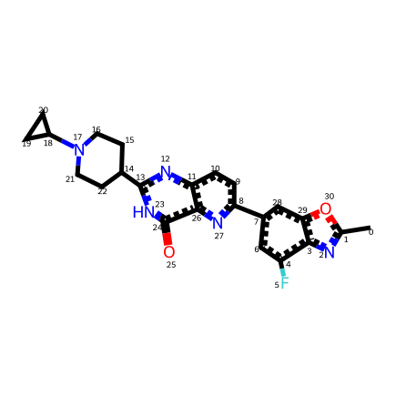 Cc1nc2c(F)cc(-c3ccc4nc(C5CCN(C6CC6)CC5)[nH]c(=O)c4n3)cc2o1